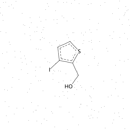 OCc1sccc1I